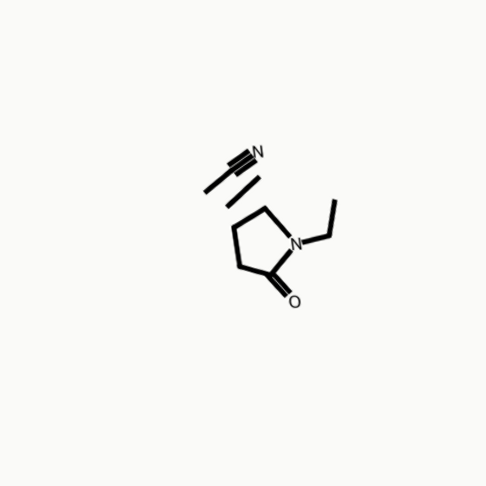 CC.CC#N.CCN1CCCC1=O